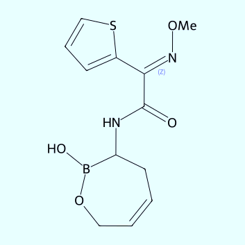 CO/N=C(/C(=O)NC1CC=CCOB1O)c1cccs1